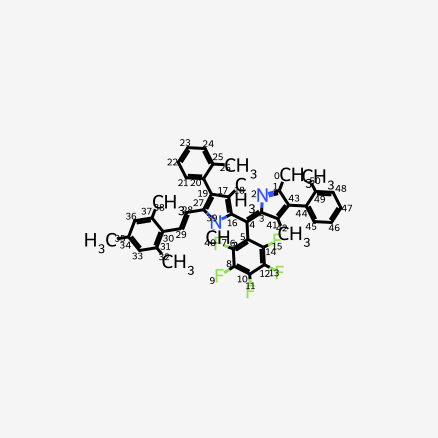 CC1=N/C(=C(/c2c(F)c(F)c(F)c(F)c2F)c2c(C)c(-c3ccccc3C)c(/C=C/c3c(C)cc(C)cc3C)n2C)C(C)=C1c1ccccc1C